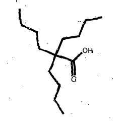 CCCCC(CCCC)(CCCC)C(=O)O